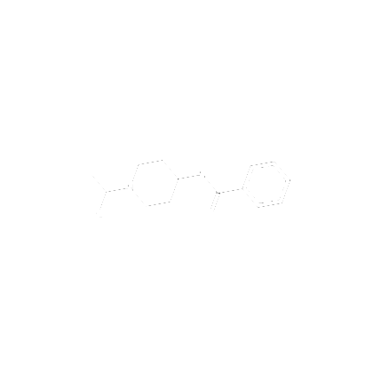 CC(S)N1CCC(NC(=O)c2ccccc2)CC1